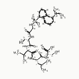 CC(C)C[C@H](NC(=O)[C@@H](NC(=O)[C@H](CS)NC(=O)CNS(=O)(=O)c1cccc2c(N(C)C)cccc12)C(C)C)C(=O)N[C@@H](CO)C(=O)O